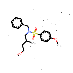 COc1ccc(S(=O)(=O)N(Cc2ccccc2)CC(C)CCO)cc1